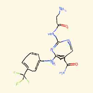 NCC(=O)Nc1ncc(C(N)=O)c(Nc2cccc(C(F)(F)F)c2)n1